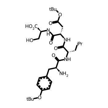 CC(C)C[C@H](NC(=O)[C@@H](N)Cc1ccc(OC(C)(C)C)cc1)C(=O)N[C@@H](CC(=O)OC(C)(C)C)C(=O)N[C@@H](CO)C(=O)O